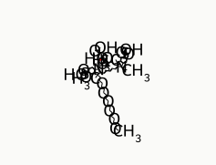 CCN1/C(=C/C=C/C=C/C2=[N+](CCCCCC(=O)O)c3ccc(S(=O)(=O)O)cc3C2(C)CCOCCOCCOCCOCCOCCOC)C(C)(CCCS(=O)(=O)O)c2cc(S(=O)(=O)O)ccc21